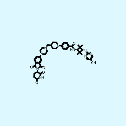 CC1(C)[C@H](NC(=O)c2ccc(N3CCC(CN4CCN(c5ccc6c(c5)C(=O)N(C5CCC(=O)NC5=O)C6=O)CC4)CC3)cc2)C(C)(C)[C@H]1Oc1ncc(C#N)cn1